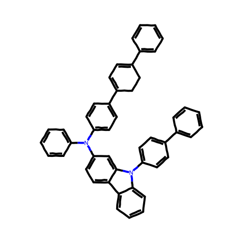 C1=C(c2ccccc2)CCC(c2ccc(N(c3ccccc3)c3ccc4c5ccccc5n(-c5ccc(-c6ccccc6)cc5)c4c3)cc2)=C1